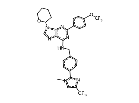 Cn1cc(C(F)(F)F)nc1-c1ccc(CNc2nc(-c3ccc(OC(F)(F)F)cc3)nc3c2ncn3C2CCCCO2)cc1